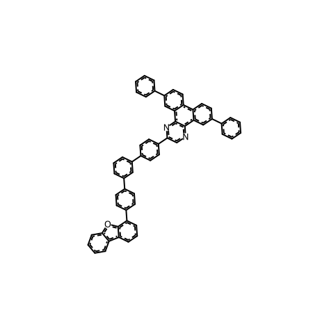 c1ccc(-c2ccc3c4ccc(-c5ccccc5)cc4c4nc(-c5ccc(-c6cccc(-c7ccc(-c8cccc9c8oc8ccccc89)cc7)c6)cc5)cnc4c3c2)cc1